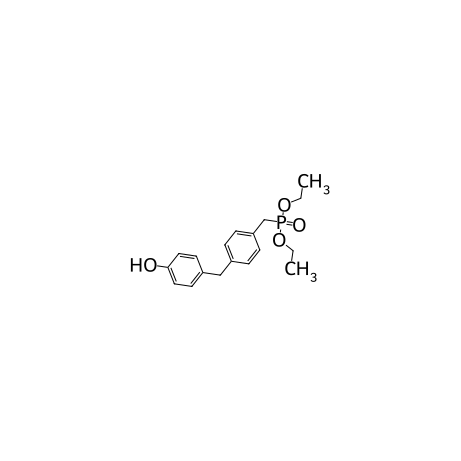 CCOP(=O)(Cc1ccc(Cc2ccc(O)cc2)cc1)OCC